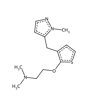 CN(C)CCOc1sccc1Cc1ccnn1C